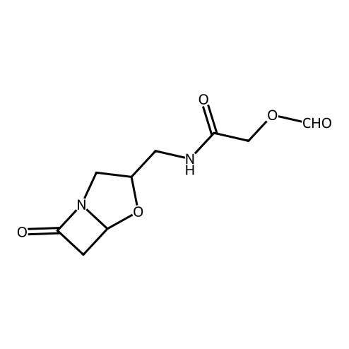 O=COCC(=O)NCC1CN2C(=O)CC2O1